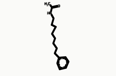 CC(=O)NCCCCCCCCc1ccccc1